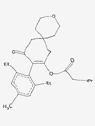 CCc1cc(C)cc(CC)c1C1=C(OC(=O)CC(C)C)CC2(CCOCC2)CC1=O